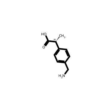 C[C@@H](C(=O)O)c1ccc(CN)cc1